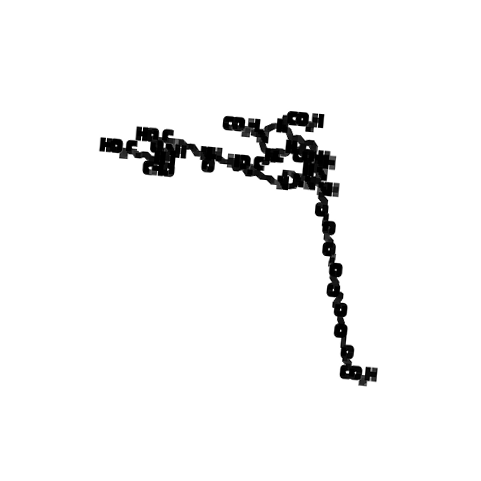 O=C[C@H](CCC(=O)O)NC(=O)N[C@@H](CCCCNC(=O)CCCCCCCCCCN1CCN(c2nc(NCCOCCOCCOCCOCCOCCOCCOCCOCCC(=O)O)nc(Nc3ccc(CC4CN(CC(=O)O)CCN(CC(=O)O)CCN(CC(=O)O)CCN4CC(=O)O)cc3)n2)CC1)C(=O)O